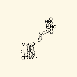 COc1cc(Nc2c(C#N)cnc3cc(OCCCN4CCN(C(=O)CCCNc5cccc6c5C(=O)N(C5CCC(=O)NC5=O)C6=O)CC4)c(OC)cc23)c(Cl)cc1Cl